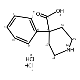 Cl.Cl.O=C(O)C1(c2ccccc2)CCNCC1